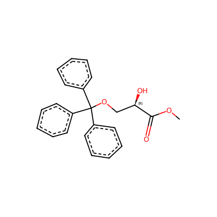 COC(=O)[C@H](O)COC(c1ccccc1)(c1ccccc1)c1ccccc1